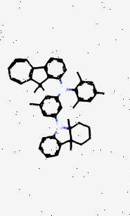 Cc1cc(N(c2cccc3c2C(C)(C)C2=C3C=C=CC=C2)c2c(C)cc(C(C)(C)C)cc2C)cc(N2c3ccccc3C3(C)CCCCC23C)c1